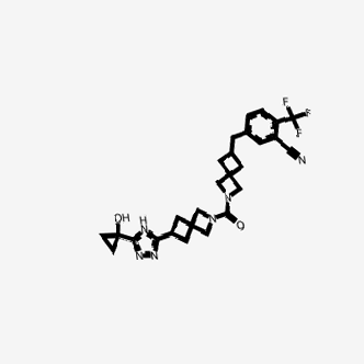 N#Cc1cc(CC2CC3(C2)CN(C(=O)N2CC4(CC(c5nnc(C6(O)CC6)[nH]5)C4)C2)C3)ccc1C(F)(F)F